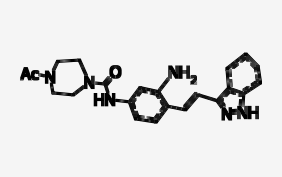 CC(=O)N1CCN(C(=O)Nc2ccc(C=Cc3n[nH]c4ccccc34)c(N)c2)CC1